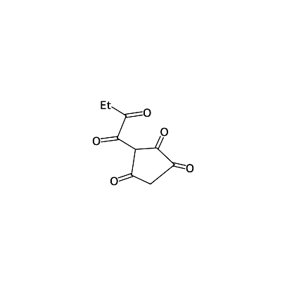 CCC(=O)C(=O)C1C(=O)CC(=O)C1=O